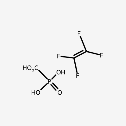 FC(F)=C(F)F.O=C(O)P(=O)(O)O